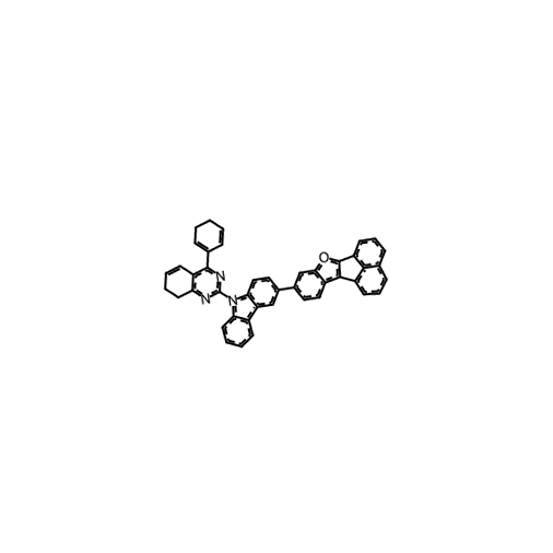 C1=CC(c2nc(-n3c4ccccc4c4cc(-c5ccc6c7c(oc6c5)-c5cccc6cccc-7c56)ccc43)nc3c2C=CCC3)=CCC1